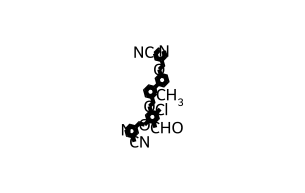 Cc1c(COc2cc(OCc3cncc(C#N)c3)c(C=O)cc2Cl)cccc1-c1cccc(OCc2cncc(C#N)c2)c1